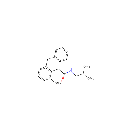 COc1cccc(Cc2ccccc2)c1CC(=O)NCC(OC)OC